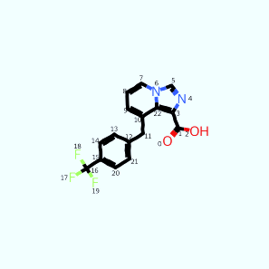 O=C(O)c1ncn2cccc(Cc3ccc(C(F)(F)F)cc3)c12